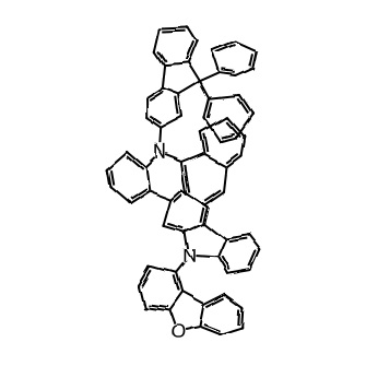 c1ccc(C2(c3ccccc3)c3ccccc3-c3ccc(N(c4ccccc4-c4ccc5c6ccccc6n(-c6cccc7oc8ccccc8c67)c5c4)c4cccc5ccccc45)cc32)cc1